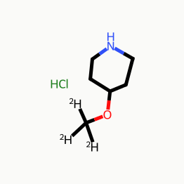 Cl.[2H]C([2H])([2H])OC1CCNCC1